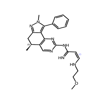 COCCN/C=C\C(=N)Nc1ncc2c(n1)-c1c(nn(C)c1-c1ccccc1)C[C@@H]2C